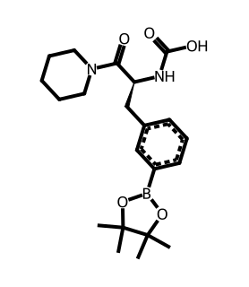 CC1(C)OB(c2cccc(C[C@H](NC(=O)O)C(=O)N3CCCCC3)c2)OC1(C)C